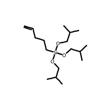 C=CCCC[Si](OCC(C)C)(OCC(C)C)OCC(C)C